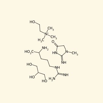 CN1CC(=O)NC1=N.C[N+](C)(C)CCO.N=C(N)NCCCC(N)C(=O)O.OCC(O)CO